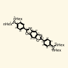 CCCCCCN(CCCCCC)c1ccc(-c2nc3cc4nc(-c5ccc(N(CCCCCC)CCCCCC)cc5)oc4cc3o2)cc1